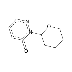 O=c1cccnn1C1CCCCO1